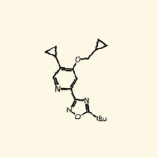 CC(C)(C)c1nc(-c2cc(OCC3CC3)c(C3CC3)cn2)no1